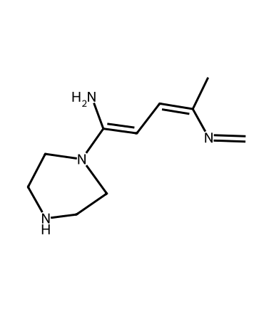 C=N/C(C)=C\C=C(/N)N1CCNCC1